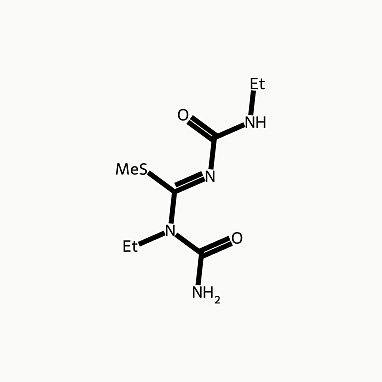 CCNC(=O)/N=C(\SC)N(CC)C(N)=O